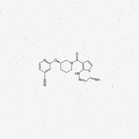 N#Cc1ccnc(O[C@@H]2CCCN(C(=O)c3ccsc3N/N=C\C=N)C2)c1